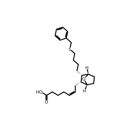 O=C(O)CCC/C=C\C[C@@H]1[C@H](CCCCSCc2ccccc2)[C@@H]2CC[C@H]1O2